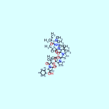 CC(C)[C@H](NC(=O)[C@H](C(C)C)N(C)C)C(=O)N(C)[C@H](C(=O)N1CCC[C@H]1C(=O)N1CCC[C@H]1C(=O)O[C@H](C(=O)N1C(=O)C=C(O)[C@@H]1Cc1ccccc1)C(C)C)C(C)C